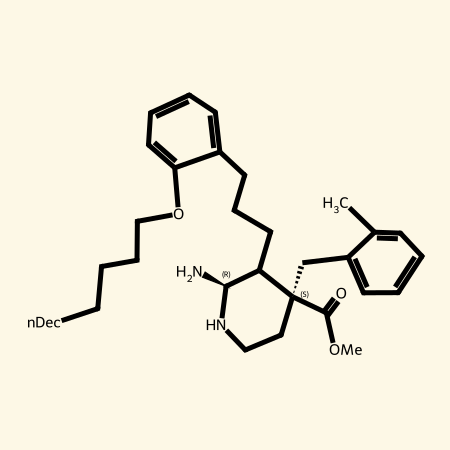 CCCCCCCCCCCCCCOc1ccccc1CCCC1[C@H](N)NCC[C@]1(Cc1ccccc1C)C(=O)OC